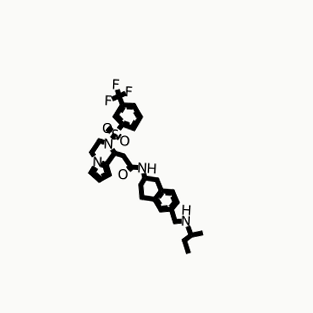 CCC(C)NCc1ccc2c(c1)CCC(NC(=O)CC1c3cccn3CCN1S(=O)(=O)c1cccc(C(F)(F)F)c1)C2